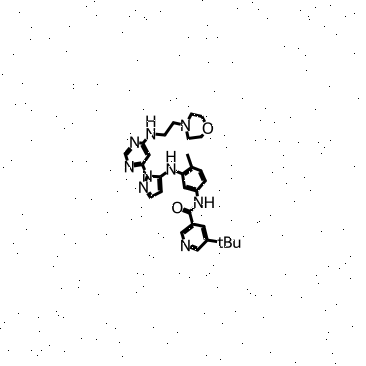 Cc1ccc(NC(=O)c2cncc(C(C)(C)C)c2)cc1Nc1ccnn1-c1cc(NCCN2CCOCC2)ncn1